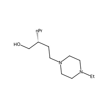 CCC[C@@H](CO)CCN1CCN(CC)CC1